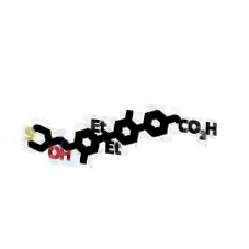 CCC(CC)(c1ccc(/C=C/C2(O)CCSCC2)c(C)c1)c1ccc(-c2ccc(CC(=O)O)cc2)c(C)c1